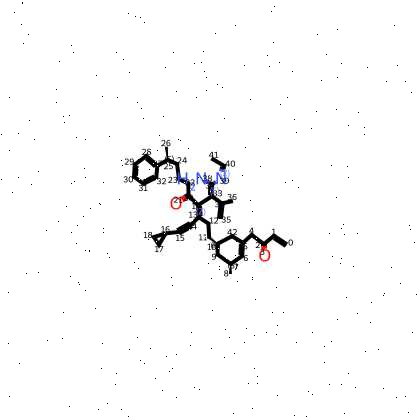 C=CC(=O)CC1=C[C@@H](C)C[C@@H](CC\C(C#CC2CC2)=C(C(=O)CCC[C@H](C)c2ccccc2)/C(C(=C)C)=C(N)/N=C\C)C1